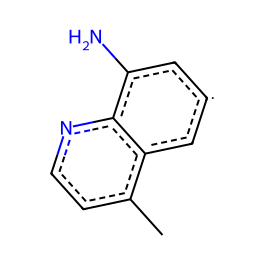 Cc1ccnc2c(N)c[c]cc12